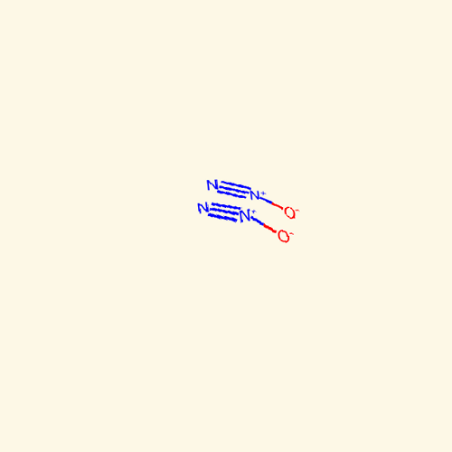 N#[N+][O-].N#[N+][O-]